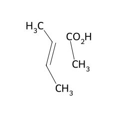 CC(=O)O.CC=CC